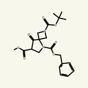 COC(=O)C1CN(C(=O)OCc2ccccc2)C2(CN(C(=O)OC(C)(C)C)C2)C1=O